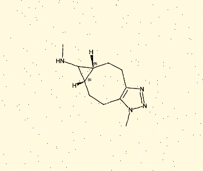 CNC1[C@H]2CCc3c(nnn3C)CC[C@@H]12